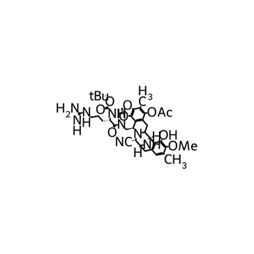 COc1c(C)cc2c(c1O)[C@H]1N[C@H](C2)[C@H](C#N)N2C1Cc1c(OC(C)=O)c(C)c3c(c1[C@@H]2CNC(=O)[C@H](CCCNC(=N)N)NC(=O)OC(C)(C)C)OCO3